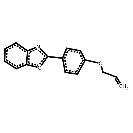 C=CCOc1ccc(-c2nc3ccccc3o2)cc1